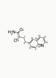 NC(=O)C(Cl)CCc1ccc2ncccc2c1